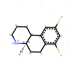 Fc1cc(F)c2c(c1)C1CCCN[C@@H]1CC2